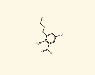 Nc1c(OCCCl)cc(Cl)cc1[N+](=O)[O-]